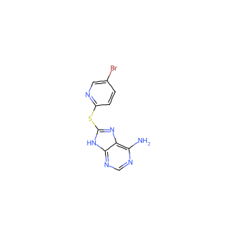 Nc1ncnc2[nH]c(Sc3ccc(Br)cn3)nc12